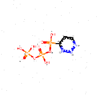 O=P(O)(O)OP(=O)(O)OP(=O)(O)c1ccnnn1